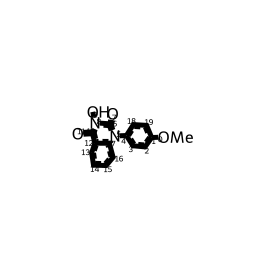 COc1ccc(-n2c(=O)n(O)c(=O)c3ccccc32)cc1